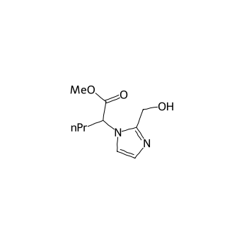 CCCC(C(=O)OC)n1ccnc1CO